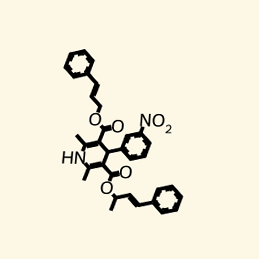 CC1=C(C(=O)OC/C=C/c2ccccc2)C(c2cccc([N+](=O)[O-])c2)C(C(=O)OC(C)/C=C/c2ccccc2)=C(C)N1